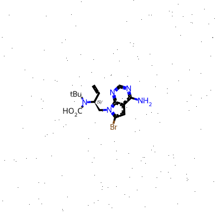 C=C[C@@H](Cn1c(Br)cc2c(N)ncnc21)N(C(=O)O)C(C)(C)C